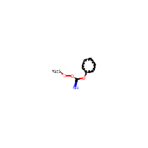 CSOOC(=N)Oc1ccccc1